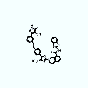 Cc1[nH]nc(-c2cccc(OCc3ccc(-c4sc(N5CCc6cccc(C(=O)Nc7nc8ccccc8s7)c6C5)nc4C(=O)O)cc3)c2)c1C#N